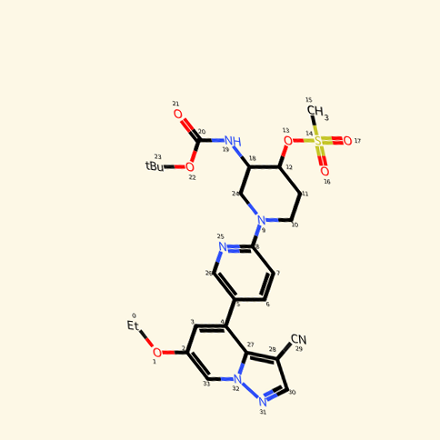 CCOc1cc(-c2ccc(N3CCC(OS(C)(=O)=O)C(NC(=O)OC(C)(C)C)C3)nc2)c2c(C#N)cnn2c1